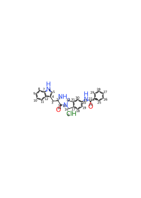 Cl.NC(Cc1c[nH]c2ccccc12)C(=O)N1Cc2ccc(NC(=O)c3ccccc3)cc2C1